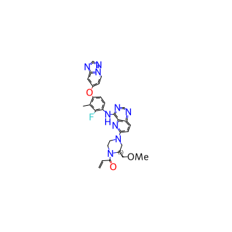 C=CC(=O)N1CCN(c2ccc3ncnc(Nc4ccc(Oc5ccn6ncnc6c5)c(C)c4F)c3n2)C[C@H]1COC